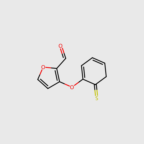 O=Cc1occc1OC1=CC=CCC1=S